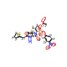 CC(=O)OCC1=C(S(=O)(=O)Oc2ccc([N+](=O)[O-])cc2)N2C(=O)[C@H](NC(=O)Cc3cccs3)[C@@H]2SC1